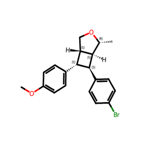 COc1ccc([C@@H]2[C@@H]3CO[C@H](C)[C@H]3[C@H]2c2ccc(Br)cc2)cc1